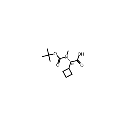 CN(C(=O)OC(C)(C)C)[C@H](C(=O)O)C1CCC1